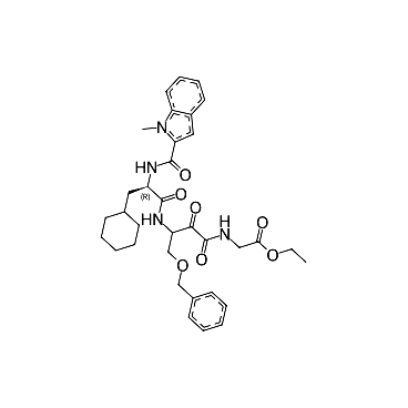 CCOC(=O)CNC(=O)C(=O)C(COCc1ccccc1)NC(=O)[C@@H](CC1CCCCC1)NC(=O)c1cc2ccccc2n1C